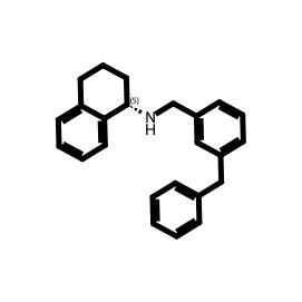 c1ccc(Cc2cccc(CN[C@H]3CCCc4ccccc43)c2)cc1